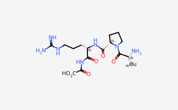 CC[C@@H](C)[C@@H](N)C(=O)N1CCC[C@H]1C(=O)N[C@@H](CCCNC(=N)N)C(=O)NC(=O)C(=O)O